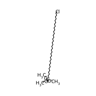 CCO[Si](CCCCCCCCCCCCCCCCCCCCCCCCCCCCCCCCCCCCCl)(OCC)OCC